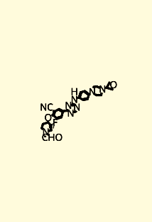 N#Cc1cc(-c2ncnc(Nc3ccc(N4CCN(C5COC5)CC4)cc3)n2)ccc1OC1CCN(C=O)C[C@H]1F